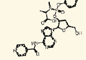 CC(C(=O)O)N(C)P(=O)(Oc1ccccc1)OC1CC(CO)OC1n1cnc2c(NC(=O)c3ccncc3)ncnc21